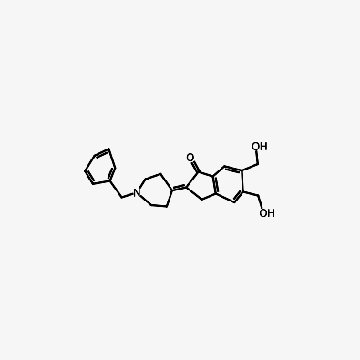 O=C1C(=C2CCN(Cc3ccccc3)CC2)Cc2cc(CO)c(CO)cc21